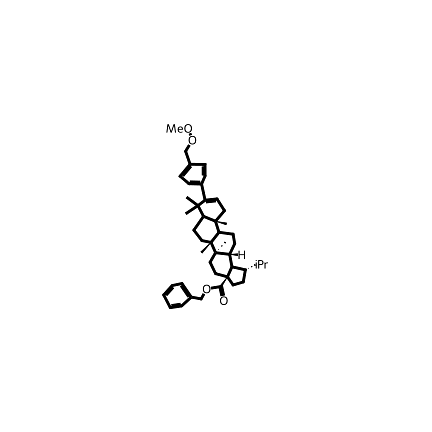 COOCc1ccc(C2=CC[C@@]3(C)C(CC[C@]4(C)C3CC[C@@H]3C5[C@H](C(C)C)CC[C@]5(C(=O)OCc5ccccc5)CC[C@]34C)C2(C)C)cc1